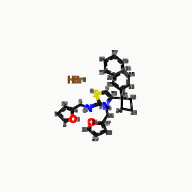 Br.c1coc(CN=c2scc(C3(c4ccc5ccccc5c4)CCC3)n2Cc2ccco2)c1